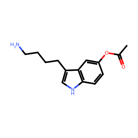 CC(=O)Oc1ccc2[nH]cc(CCCCN)c2c1